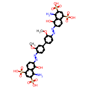 COc1cc(-c2ccc(/N=N/c3ccc4c(S(=O)(=O)O)cc(S(=O)(=O)O)c(N)c4c3O)c(OC)c2)ccc1/N=N/c1ccc2c(S(=O)(=O)O)cc(S(=O)(=O)O)c(N)c2c1O